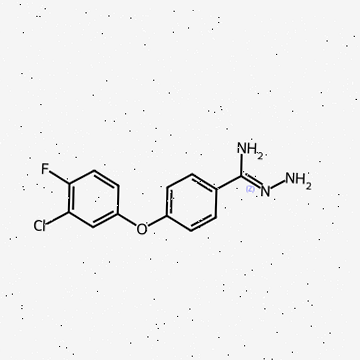 N/N=C(\N)c1ccc(Oc2ccc(F)c(Cl)c2)cc1